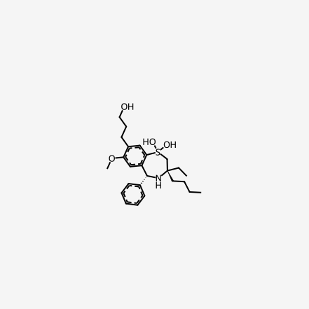 CCCC[C@]1(CC)CS(O)(O)c2cc(CCCO)c(OC)cc2[C@@H](c2ccccc2)N1